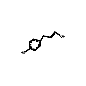 OC=CCc1ccc(S)cc1